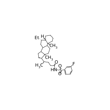 CC[C@H]1CC2C3CC[C@H]([C@H](C)CCC(=O)NS(=O)(=O)c4cccc(F)c4)[C@@]3(C)CCC2[C@@]2(C)CCCC[C@@H]12